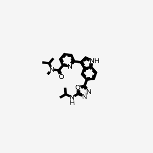 CC(C)Nc1nnc(-c2ccc3[nH]cc(-c4cccc(C(=O)N(C)C(C)C)n4)c3c2)o1